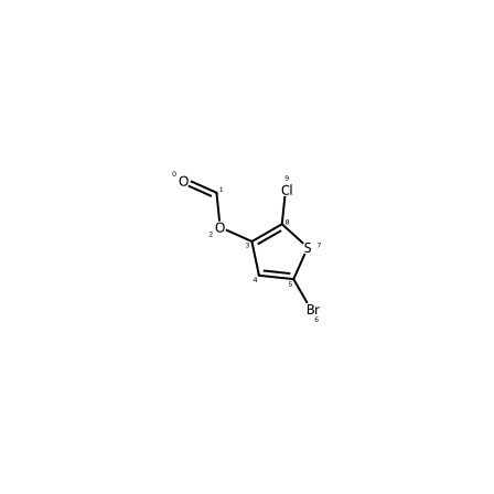 O=COc1cc(Br)sc1Cl